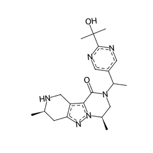 CC(c1cnc(C(C)(C)O)nc1)N1C[C@@H](C)n2nc3c(c2C1=O)CN[C@H](C)C3